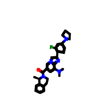 C[C@@H]1c2ccccc2CCN1C(=O)c1cc(N(C)C)c2nc(-c3ccc(N4CCCC4)cc3F)cn2c1